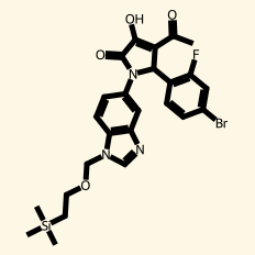 CC(=O)C1=C(O)C(=O)N(c2ccc3c(c2)ncn3COCC[Si](C)(C)C)C1c1ccc(Br)cc1F